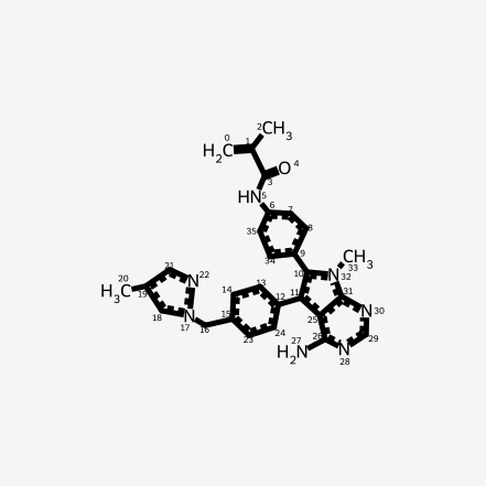 C=C(C)C(=O)Nc1ccc(-c2c(-c3ccc(Cn4cc(C)cn4)cc3)c3c(N)ncnc3n2C)cc1